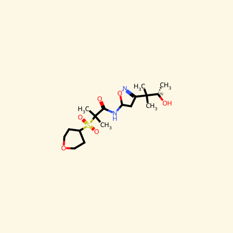 C[C@H](O)C(C)(C)C1=NOC(NC(=O)C(C)(C)S(=O)(=O)C2CCOCC2)C1